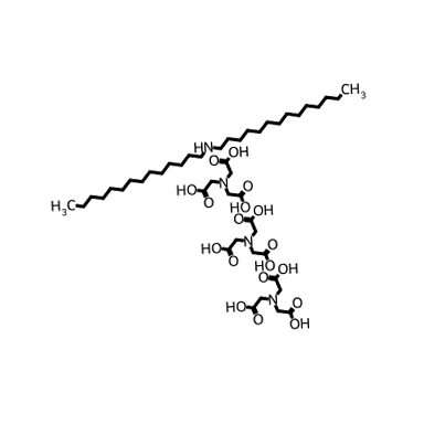 CCCCCCCCCCCCCCNCCCCCCCCCCCCCC.O=C(O)CN(CC(=O)O)CC(=O)O.O=C(O)CN(CC(=O)O)CC(=O)O.O=C(O)CN(CC(=O)O)CC(=O)O